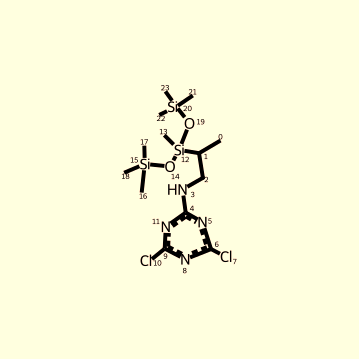 CC(CNc1nc(Cl)nc(Cl)n1)[Si](C)(O[Si](C)(C)C)O[Si](C)(C)C